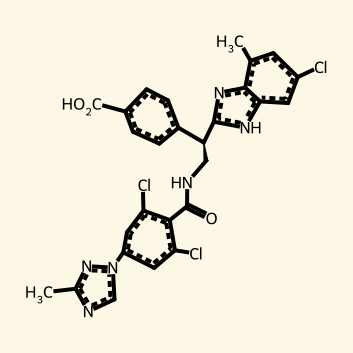 Cc1ncn(-c2cc(Cl)c(C(=O)NC[C@@H](c3ccc(C(=O)O)cc3)c3nc4c(C)cc(Cl)cc4[nH]3)c(Cl)c2)n1